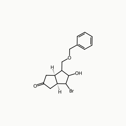 O=C1C[C@@H]2C(Br)C(O)C(COCc3ccccc3)[C@@H]2C1